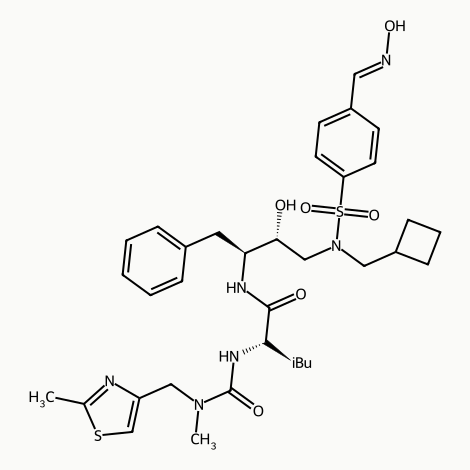 CC[C@H](C)[C@H](NC(=O)N(C)Cc1csc(C)n1)C(=O)N[C@@H](Cc1ccccc1)[C@H](O)CN(CC1CCC1)S(=O)(=O)c1ccc(C=NO)cc1